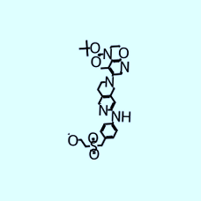 COCCS(=O)(=O)Cc1ccc(Nc2cc3c(cn2)CCN(c2cnc4c(c2C)N(C(=O)OC(C)(C)C)CCO4)C3)cc1